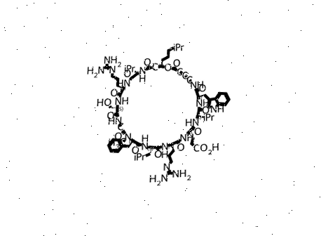 CC(C)CCC[C@@H]1CC(=O)N[C@@H](C(C)C)C(=O)N[C@H](CCCN=C(N)N)C(=O)N[C@@H](CO)C(=O)NCC(=O)N(C)[C@H](Cc2ccccc2)C(=O)N[C@@H](CC(C)C)C(=O)N[C@H](CCCN=C(N)N)C(=O)N[C@@H](CCC(=O)O)C(=O)N[C@H](C(C)C)C(=O)N[C@H](Cc2c[nH]c3ccccc23)C(=O)NCCCC(=O)O1